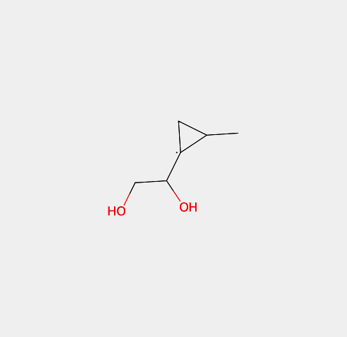 CC1C[C]1C(O)CO